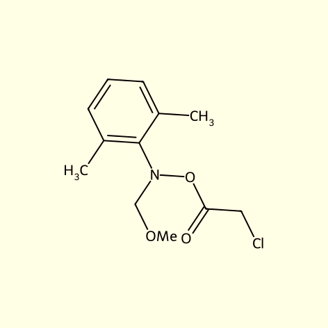 COCN(OC(=O)CCl)c1c(C)cccc1C